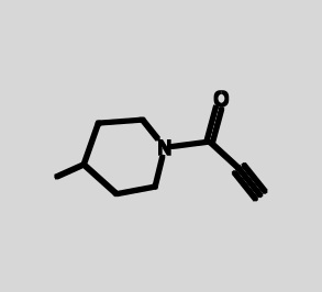 C#CC(=O)N1CCC(C)CC1